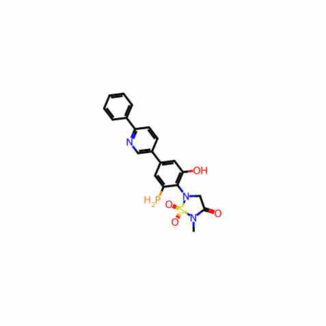 CN1C(=O)CN(c2c(O)cc(-c3ccc(-c4ccccc4)nc3)cc2P)S1(=O)=O